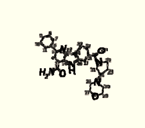 NC(=O)c1cc(-c2ccccc2)nc2c1[nH]c1cc(C(=O)N3CC[C@H](N4CCOCC4)C3)ccc12